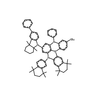 CC(C)(C)c1ccc2c(c1)N(c1ccccc1)c1cc(N3c4ccc(-c5ccccc5)cc4C4(C)CCCCC34C)cc3c1B2c1cc2c(cc1N3c1ccc3c(c1)C(C)(C)CCC3(C)C)C(C)(C)CCC2(C)C